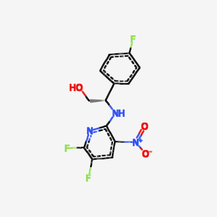 O=[N+]([O-])c1cc(F)c(F)nc1N[C@H](CO)c1ccc(F)cc1